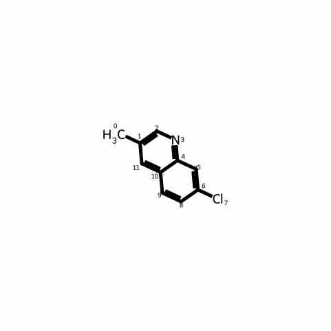 Cc1cnc2[c]c(Cl)ccc2c1